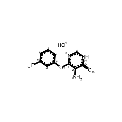 Cl.Nc1c(Oc2cccc(F)c2)nc[nH]c1=O